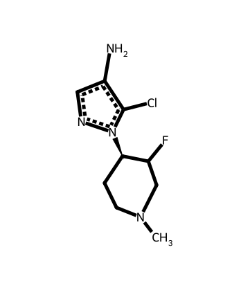 CN1CC[C@@H](n2ncc(N)c2Cl)C(F)C1